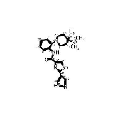 CN(C)C1(C)CCN(c2ccccc2NC(=O)c2csc(-c3cn[nH]c3)n2)CC1